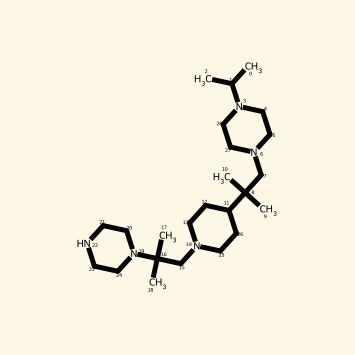 CC(C)N1CCN(CC(C)(C)C2CCN(CC(C)(C)N3CCNCC3)CC2)CC1